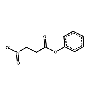 O=C(CC[N+](=O)[O-])Oc1ccccc1